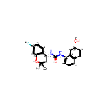 CCC1(CC)C[C@@H](NC(=O)Nc2cccc3c2C[C@H](O)CC3)c2ccc(F)cc2O1